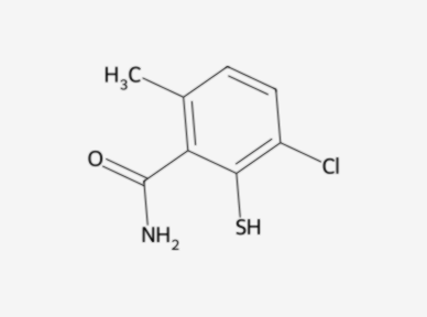 Cc1ccc(Cl)c(S)c1C(N)=O